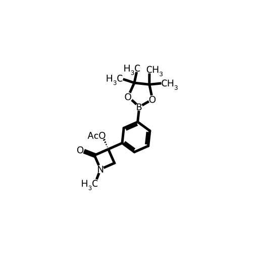 CC(=O)O[C@]1(c2cccc(B3OC(C)(C)C(C)(C)O3)c2)CN(C)C1=O